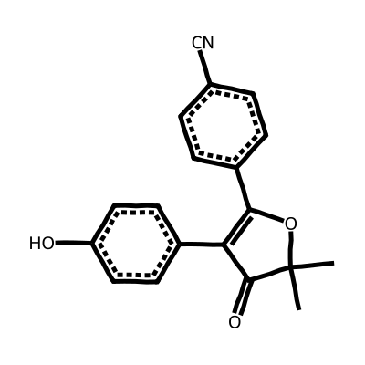 CC1(C)OC(c2ccc(C#N)cc2)=C(c2ccc(O)cc2)C1=O